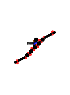 C=CC(=O)OCCCCCCCCOc1ccc(OC(=O)C2CCC(C(=O)Oc3ccc(OC(=O)[C@H]4CC[C@H](C(=O)Oc5ccc(OCCCCCCCCOC(=O)C=C)cc5)CC4)c(/C=N/N(CCCCCC)c4nc5ccccc5s4)c3)CC2)cc1